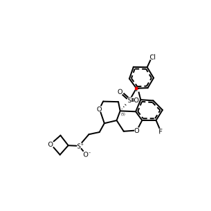 O=S(=O)(c1ccc(Cl)cc1)[C@@]12CCOC(CC[S+]([O-])C3COC3)C1COc1c(F)ccc(F)c12